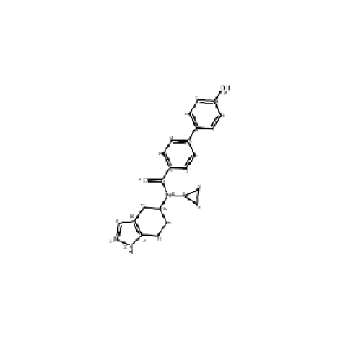 O=C(c1ccc(-c2ccc(O)cc2)cc1)N(C1CC1)C1CCc2[nH]ncc2C1